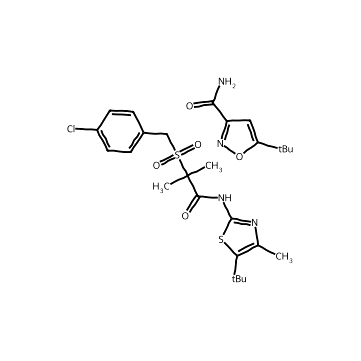 CC(C)(C)c1cc(C(N)=O)no1.Cc1nc(NC(=O)C(C)(C)S(=O)(=O)Cc2ccc(Cl)cc2)sc1C(C)(C)C